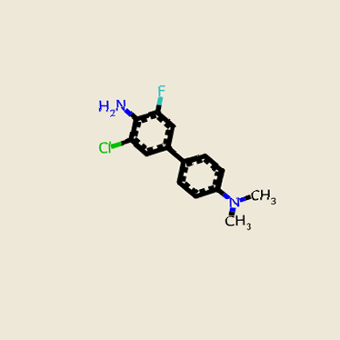 CN(C)c1ccc(-c2cc(F)c(N)c(Cl)c2)cc1